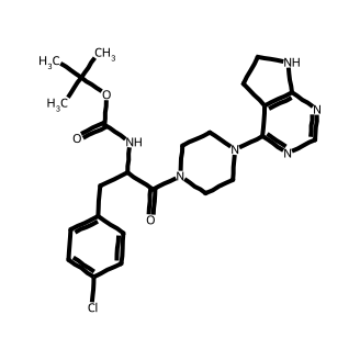 CC(C)(C)OC(=O)NC(Cc1ccc(Cl)cc1)C(=O)N1CCN(c2ncnc3c2CCN3)CC1